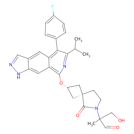 CC(C)c1nc(O[C@H]2C[C@@]3(CCN(C(C)(C=O)CO)C3=O)C2)c2cc3[nH]ncc3cc2c1-c1ccc(F)cc1